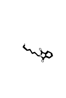 O=C1c2ccccc2C(=O)N1CCCC/C=C\I